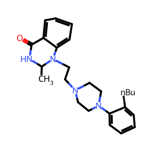 CCCCc1ccccc1N1CCN(CCN2c3ccccc3C(=O)NC2C)CC1